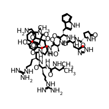 CC(C)C[C@H](N)C(=O)N[C@@H](CCCNC(=N)N)C(=O)N[C@@H](CCCNC(=N)N)C(=O)N1CCC[C@H]1C(=O)C(C(=O)[C@H](Cc1ccc(O)cc1)NC(=O)[C@H](CO)NC(=O)[C@H](Cc1c[nH]c2ccccc12)NC(=O)[C@H](Cc1c[nH]cn1)NC(=O)[C@@H]1CCC(=O)N1)(C(=O)N(C)C(=O)CN)C1CCCCC1